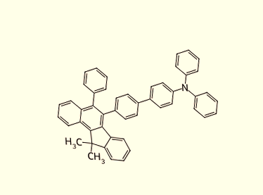 CC1(C)c2ccccc2-c2c(-c3ccc(-c4ccc(N(c5ccccc5)c5ccccc5)cc4)cc3)c(-c3ccccc3)c3ccccc3c21